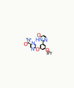 CC(C)Oc1cc(Oc2cnc(C(=O)N(C)C)cn2)cc(-c2nccc(=O)[nH]2)c1